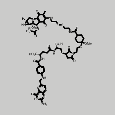 COC1(OCCN2C(=O)CC(SC[C@H](NC(=O)CC[C@H](NC(=O)c3ccc(NCc4cnc5nc(N)[nH]c(=O)c5n4)cc3)C(=O)O)C(=O)O)C2=O)CCC(C(=O)NCCSSCCNC2=C(C)C(=O)C3=C(C2=O)[C@@H](OC(N)=O)[C@@]2(OC)[C@H]4N[C@H]4CN32)CC1